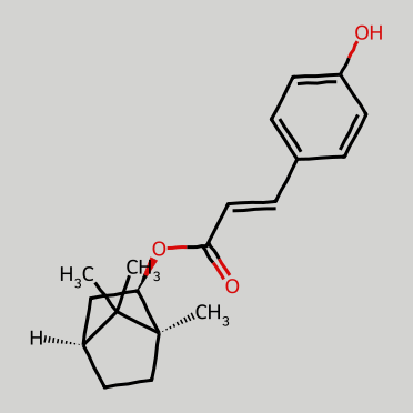 CC1(C)[C@H]2CC[C@]1(C)[C@H](OC(=O)/C=C/c1ccc(O)cc1)C2